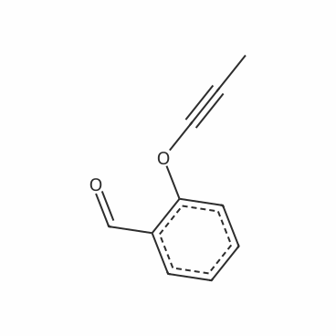 CC#COc1ccccc1C=O